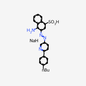 CCCCc1ccc(-c2ccc(/N=N/c3cc(S(=O)(=O)O)c4ccccc4c3N)cn2)cc1.[NaH]